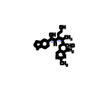 C/C(=C(CCO)/[SH]=C(\O)c1ccc2sccc2c1)N(C=O)Cc1cnc(C)nc1N